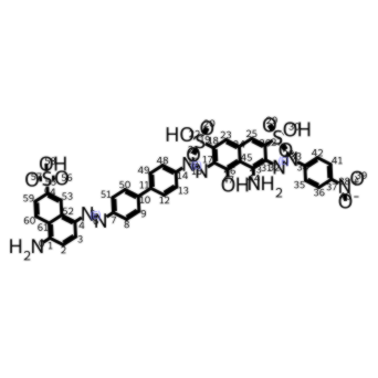 Nc1ccc(/N=N/c2ccc(-c3ccc(/N=N/c4c(S(=O)(=O)O)cc5cc(S(=O)(=O)O)c(/N=N/c6ccc([N+](=O)[O-])cc6)c(N)c5c4O)cc3)cc2)c2cc(S(=O)(=O)O)ccc12